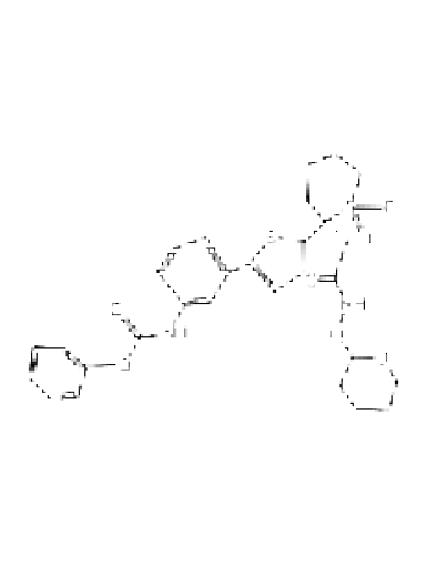 O=C(C[C@]1(c2ccc(-c3cccc(NC(=O)Oc4ccccc4)c3)s2)CCCCS1(=O)=O)NOC1CCCCO1